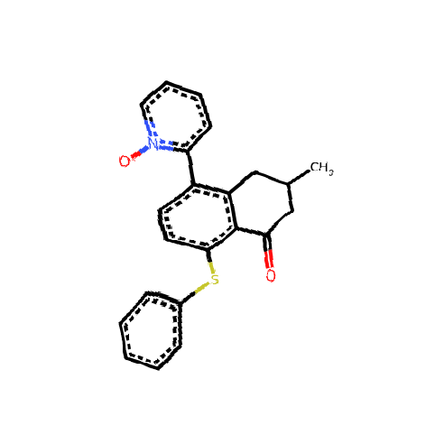 CC1CC(=O)c2c(Sc3ccccc3)ccc(-c3cccc[n+]3[O-])c2C1